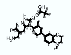 Cc1cc(-c2ccc3c(c2)OCCN3C)cnc1-n1c(CC(CN)=C(F)F)n[nH]c1=O.O=C(O)C(F)(F)F